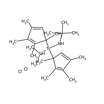 CC1=C[C](C)([Ti]([NH]C(C)(C)C)([SiH](C)C)[C]2(C)C=C(C)C(C)=C2C)C(C)=C1C.[Cl-].[Cl-]